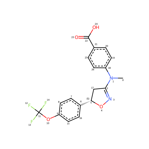 CN(C1=NO[C@H](c2ccc(OC(F)(F)F)cc2)C1)c1ccc(C(=O)O)cc1